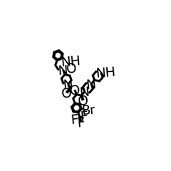 O=C(OC(Cc1ccc(C(F)(F)F)c(Br)c1)C(=O)N1CCN(C2CCNCC2)CC1)N1CCC(N2CCc3ccccc3NC2=O)CC1